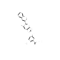 Cc1ccc(Oc2nc3nc(-c4cnc5ccccc5c4)c(Cl)cc3[nH]2)cc1C(=O)O